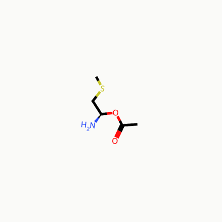 CSC[C@H](N)OC(C)=O